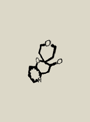 O=C1Cc2ncccc2OC12CCOCC2